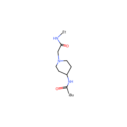 CCNC(=O)CN1CCC(NC(=O)C(C)CC)CC1